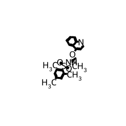 Cc1cc(C)c(S(=O)(=O)N[C@@H](C)COc2ccnc3ccccc23)c(C)c1